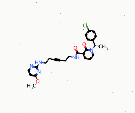 COc1ccnc(NCCC#CCCNC(=O)c2cccn([C@@H](C)c3ccc(Cl)cc3)c2=O)n1